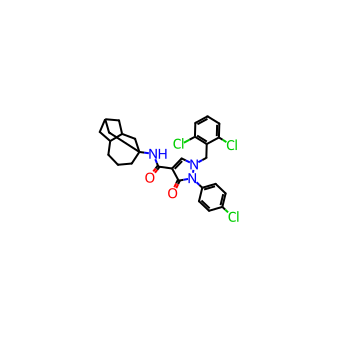 O=C(NC12CCCC3CC(CC3C1)C2)c1cn(Cc2c(Cl)cccc2Cl)n(-c2ccc(Cl)cc2)c1=O